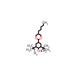 CCCCCC1COC(C2CC(C(C)(C)C)C(O)C(C(C)(C)C)C2)OC1